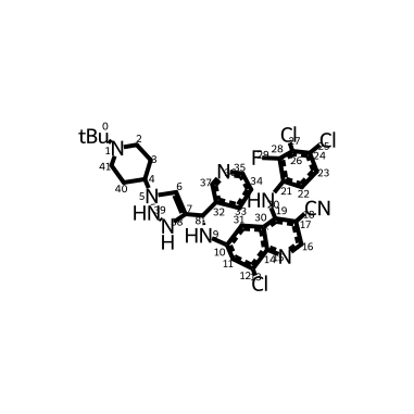 CC(C)(C)N1CCC(N2C=C([C@@H](Nc3cc(Cl)c4ncc(C#N)c(Nc5ccc(Cl)c(Cl)c5F)c4c3)c3cccnc3)NN2)CC1